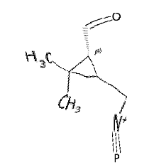 CC1(C)C(C[N+]#P)[C@H]1C=O